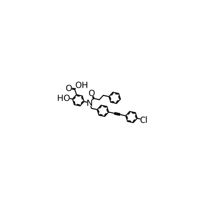 O=C(O)c1cc(N(Cc2ccc(C#Cc3ccc(Cl)cc3)cc2)C(=O)CCc2ccccc2)ccc1O